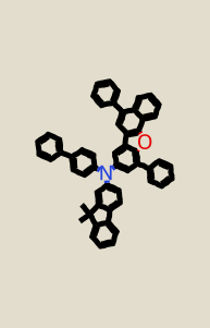 CC1(C)c2ccccc2-c2ccc(N(c3ccc(-c4ccccc4)cc3)c3cc(-c4ccccc4)c4oc5c6ccccc6c(-c6ccccc6)cc5c4c3)cc21